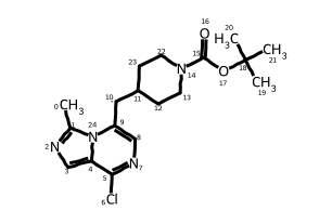 Cc1ncc2c(Cl)ncc([CH]C3CCN(C(=O)OC(C)(C)C)CC3)n12